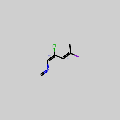 C=N/C=C(Cl)\C=C(/C)I